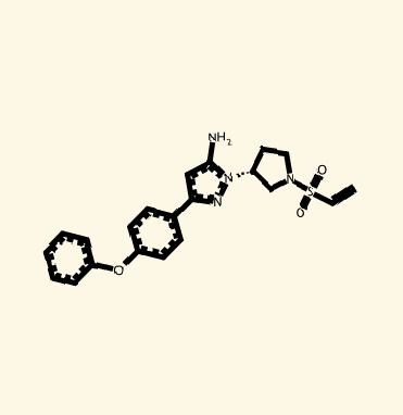 C=CS(=O)(=O)N1CC[C@@H](n2nc(-c3ccc(Oc4ccccc4)cc3)cc2N)C1